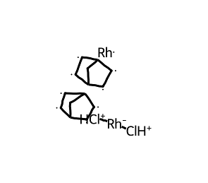 [CH]1[CH]C2[CH][CH]C1C2.[CH]1[CH]C2[CH][CH]C1C2.[ClH+][Rh-][ClH+].[Rh]